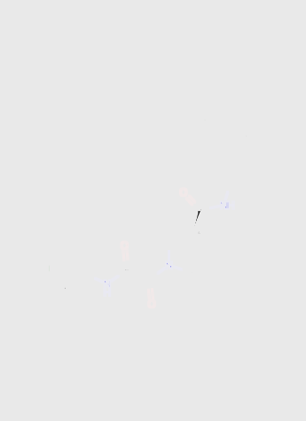 O=C(NCC(F)(F)F)C(=O)N1CC[C@H](C(=O)Nc2ccc(F)c(Cl)c2)C1